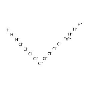 [Cl-].[Cl-].[Cl-].[Cl-].[Cl-].[Cl-].[Cl-].[Cl-].[Cl-].[Fe+3].[H+].[H+].[H+].[H+].[H+].[H+]